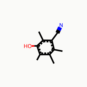 Cc1c(C)c(O)c(C)c(C#N)c1C